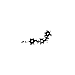 COc1ccc(CCN2CCC(C(=O)c3nc4c(Cl)cccc4s3)CC2)cc1